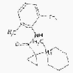 Cc1cccc(C)c1NC(=O)C1([PH]2(C)CCCCC2)CC1